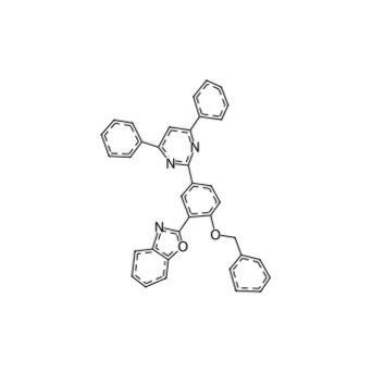 c1ccc(COc2ccc(-c3nc(-c4ccccc4)cc(-c4ccccc4)n3)cc2-c2nc3ccccc3o2)cc1